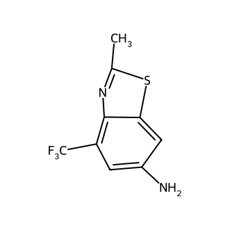 Cc1nc2c(C(F)(F)F)cc(N)cc2s1